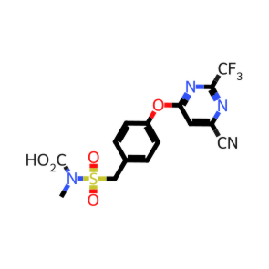 CN(C(=O)O)S(=O)(=O)Cc1ccc(Oc2cc(C#N)nc(C(F)(F)F)n2)cc1